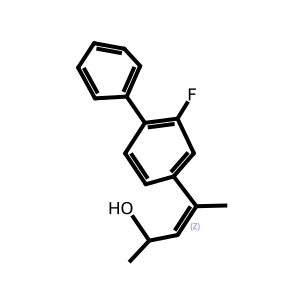 C/C(=C/C(C)O)c1ccc(-c2ccccc2)c(F)c1